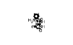 Nc1ccccc1S(=O)(=O)NC1=NC(=O)CC(=O)N1